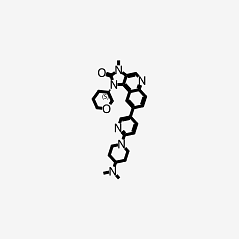 CN(C)C1CCN(c2ccc(-c3ccc4ncc5c(c4c3)n([C@H]3CCCOC3)c(=O)n5C)cn2)CC1